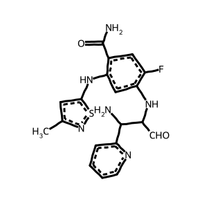 Cc1cc(Nc2cc(NC(C=O)C(N)c3ccccn3)c(F)cc2C(N)=O)sn1